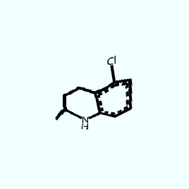 CC1CCc2c(Cl)cccc2N1